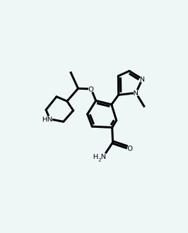 CC(Oc1ccc(C(N)=O)cc1-c1ccnn1C)C1CCNCC1